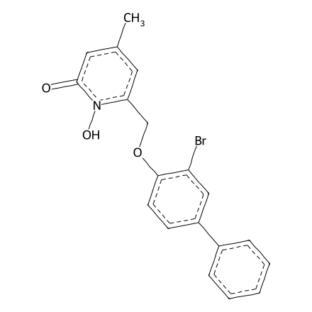 Cc1cc(COc2ccc(-c3ccccc3)cc2Br)n(O)c(=O)c1